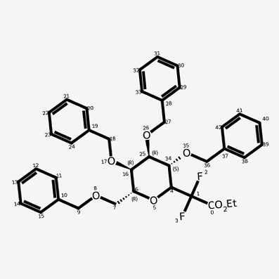 CCOC(=O)C(F)(F)C1O[C@H](COCc2ccccc2)[C@@H](OCc2ccccc2)[C@@H](OCc2ccccc2)[C@@H]1OCc1ccccc1